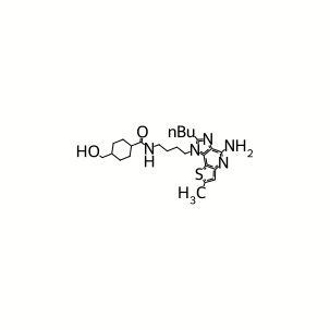 CCCCc1nc2c(N)nc3cc(C)sc3c2n1CCCCNC(=O)C1CCC(CO)CC1